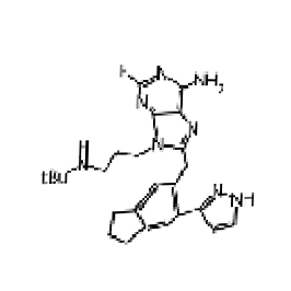 CC(C)(C)NCCCn1c(Cc2cc3c(cc2-c2cc[nH]n2)CCC3)nc2c(N)nc(F)nc21